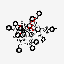 CC(=O)O[C@H]1[C@@H](NC(=O)OCc2ccccc2)[C@@H](O[C@H]2[C@H](O[C@@H]3O[C@H](CO[Si](c4ccccc4)(c4ccccc4)C(C)(C)C)[C@@H](O[C@H]4O[C@@H](CN(C(=O)OCc5ccccc5)C(O)c5ccccc5)C[C@H](OC(C)=O)[C@H]4NC(=O)OCc4ccccc4)[C@H]3CC(C)(C)[Si](O)(c3ccccc3)c3ccccc3)[C@H]3OC(=O)N[C@@H]3C[C@@H]2NC(=O)OCc2ccccc2)O[C@H](COS(=O)(=O)c2ccc(C)cc2)[C@H]1OC(=S)n1ccnc1